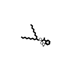 CCCCCCCCC(CCCCCCCC)COC(=O)C(C)c1ccccc1OC